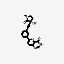 CN1CC[C@](O)(C#Cc2cccc(-c3ccc4nc[nH]c(=O)c4n3)c2)C1=O